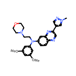 COc1cc(OC)cc(N(CCN2CCOCC2)c2ccc3ncc(-c4cnn(C)c4)nc3c2)c1